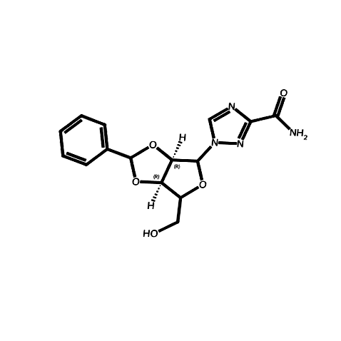 NC(=O)c1ncn(C2OC(CO)[C@H]3OC(c4ccccc4)O[C@@H]23)n1